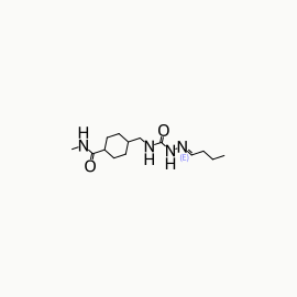 CCC/C=N/NC(=O)NCC1CCC(C(=O)NC)CC1